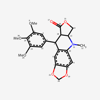 COc1cc(C2c3cc4c(cc3N(C)C3COC(=O)C23)OCO4)cc(OC)c1OC